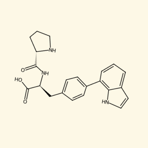 O=C(O)[C@H](Cc1ccc(-c2cccc3cc[nH]c23)cc1)NC(=O)[C@@H]1CCCN1